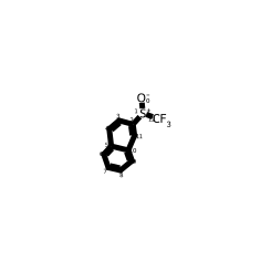 [O-][S+](c1c[c]c2ccccc2c1)C(F)(F)F